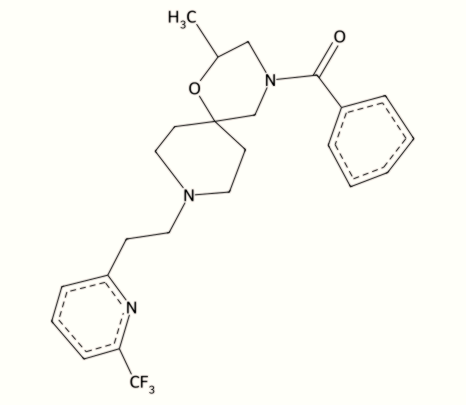 CC1CN(C(=O)c2ccccc2)CC2(CCN(CCc3cccc(C(F)(F)F)n3)CC2)O1